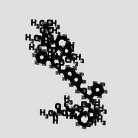 CNC(=O)OC(C)C(=O)N[C@H]1CCS[C@H]2CC(C)(C)[C@H](C(=O)NC(COCc3ccc4ccc(COCC(NC(=O)[C@H]5N6C(=O)[C@@H](NC(=O)C(C)N(C)C(=O)OC(C)(C)C)CCS[C@H]6CC5(C)C)c5ccccc5)cc4c3)c3ccccc3)N2C1=O